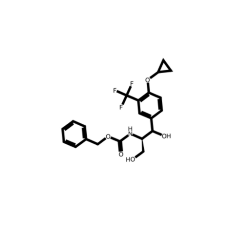 O=C(N[C@H](CO)C(O)c1ccc(OC2CC2)c(C(F)(F)F)c1)OCc1ccccc1